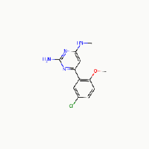 CNc1cc(-c2cc(Cl)ccc2OC)nc(N)n1